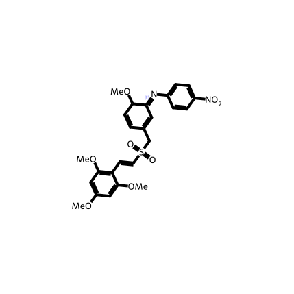 COc1cc(OC)c(C=CS(=O)(=O)CC2=C/C(=N\c3ccc([N+](=O)[O-])cc3)C(OC)C=C2)c(OC)c1